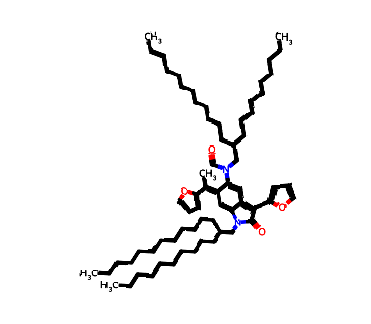 CCCCCCCCCCCCC(CCCCCCCCCC)CN(C=O)c1cc2c(c/c1=C(/C)c1ccco1)N(CC(CCCCCCCCCC)CCCCCCCCCCCC)C(=O)C=2c1ccco1